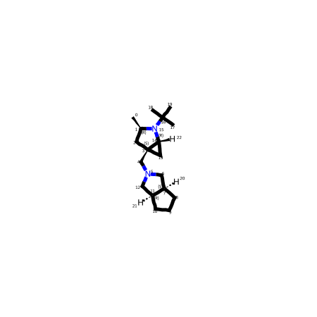 C[C@@H]1C[C@@]2(CN3C[C@H]4CCC[C@H]4C3)C[C@H]2N1C(C)(C)C